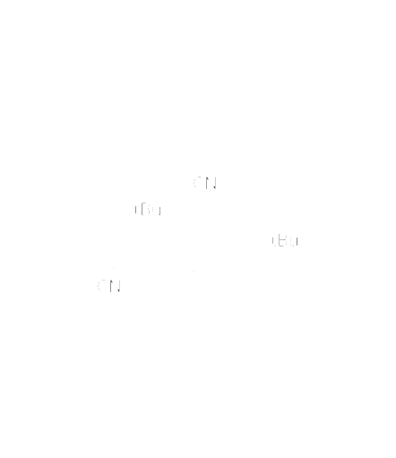 [C-]#[N+]/C(=C\C([N+]#[C-])C(C)(C)C)C(C)(C)C